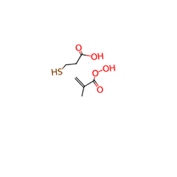 C=C(C)C(=O)OO.O=C(O)CCS